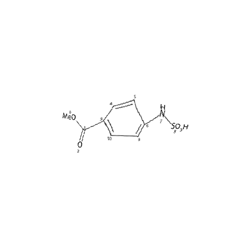 COC(=O)c1ccc(NS(=O)(=O)O)cc1